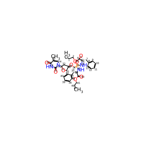 CCCOC(=O)[C@H](Cc1ccccc1)NP(=O)(CO[C@H]1COC(n2cc(C)c(=O)[nH]c2=O)C1)N[C@@H](Cc1ccccc1)C(=O)OCCC